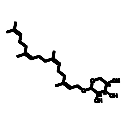 CC(C)=CCCC(C)=CCCC(C)=CCCC(C)=CCOC1OC[C@@H](O)[C@H](O)[C@H]1O